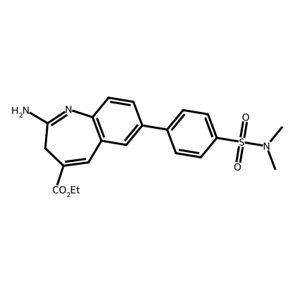 CCOC(=O)C1=Cc2cc(-c3ccc(S(=O)(=O)N(C)C)cc3)ccc2N=C(N)C1